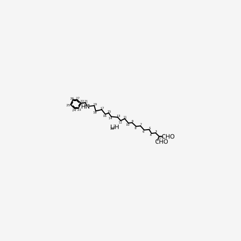 O=CC(C=O)CCCCCCCCCCCCCCCCCNCc1ccccc1.[LiH]